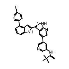 C=C(Nc1cncc(-c2cnc3[nH]nc(-c4cc5c(-c6ccc(F)cc6)cccc5[nH]4)c3c2)c1)C(C)(C)C